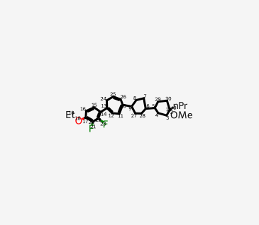 CCCC1(OC)CCC(C2CCC(C3=CC=C(c4ccc(OCC)c(F)c4F)CC=C3)CC2)CC1